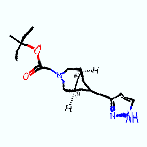 CC(C)(C)OC(=O)N1C[C@@H]2C(c3cc[nH]n3)[C@@H]2C1